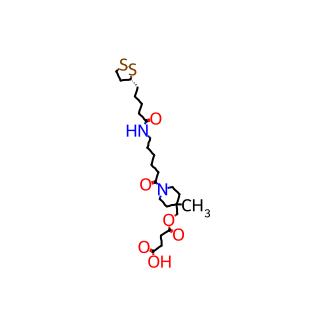 CC1(COC(=O)CCC(=O)O)CCN(C(=O)CCCCCNC(=O)CCCC[C@@H]2CCSS2)CC1